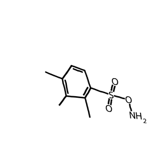 Cc1ccc(S(=O)(=O)ON)c(C)c1C